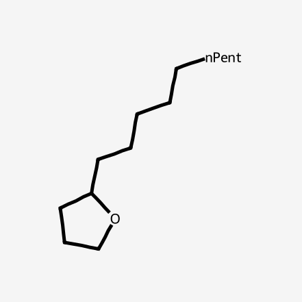 CCCCCCCCCCC1CCCO1